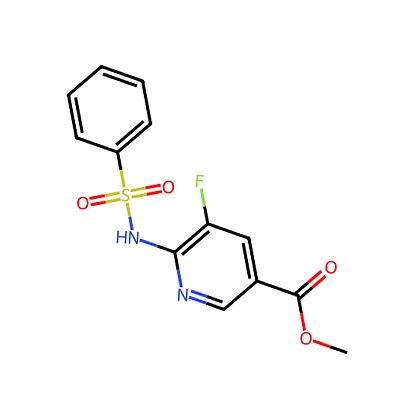 COC(=O)c1cnc(NS(=O)(=O)c2ccccc2)c(F)c1